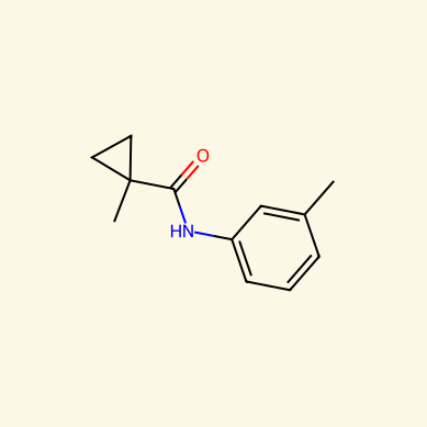 Cc1cccc(NC(=O)C2(C)CC2)c1